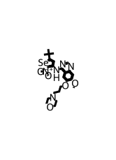 COc1cc2ncnc(Nc3cc(C(C)(C)C)[se]c3[N+](=O)[O-])c2cc1OCCCN1CCOCC1